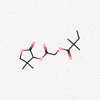 CCC(C)(C)C(=O)OCC(=O)OC1C(=O)OCC1(C)C